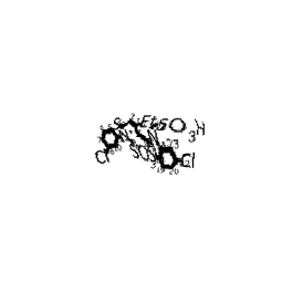 CCC(=Cc1sc2ccc(Cl)cc2[n+]1CS(=O)(=O)O)C=C1Sc2ccc(Cl)cc2N1CS(=O)(=O)O